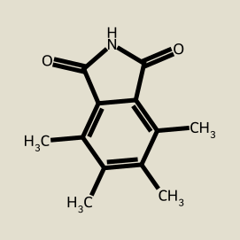 Cc1c(C)c(C)c2c(c1C)C(=O)NC2=O